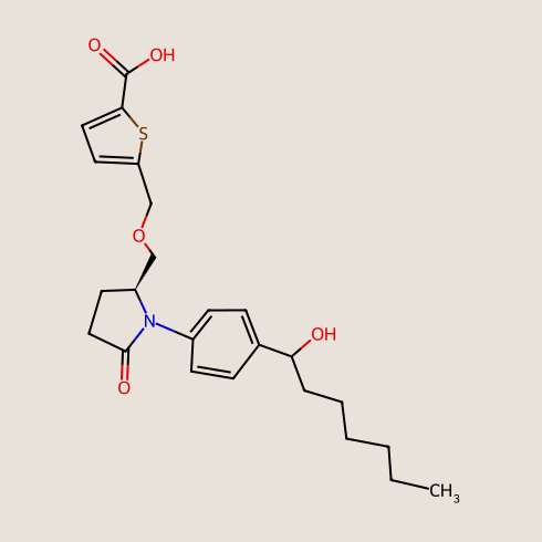 CCCCCCC(O)c1ccc(N2C(=O)CC[C@H]2COCc2ccc(C(=O)O)s2)cc1